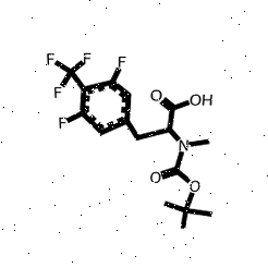 CN(C(=O)OC(C)(C)C)C(Cc1cc(F)c(C(F)(F)F)c(F)c1)C(=O)O